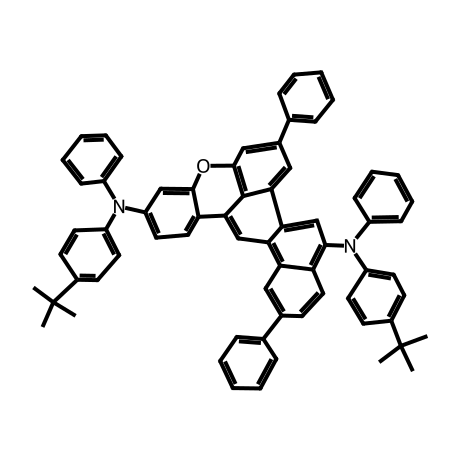 CC(C)(C)c1ccc(N(c2ccccc2)c2ccc3c(c2)Oc2cc(-c4ccccc4)cc4c2c-3cc2c3cc(-c5ccccc5)ccc3c(N(c3ccccc3)c3ccc(C(C)(C)C)cc3)cc42)cc1